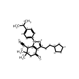 CC(C)c1ccc(-n2nc(CCC3CCCC3)c3c2C(C#N)C(C)(C)CC3=O)cc1